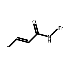 CC(C)NC(=O)/C=C/F